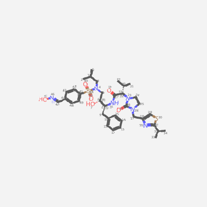 CC(C)CN(C[C@@H](O)[C@H](Cc1ccccc1)NC(=O)[C@H](C(C)C)N1CCN(Cc2csc(C(C)C)n2)C1=O)S(=O)(=O)c1ccc(/C=N/O)cc1